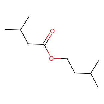 CC(C)CCOC(=O)CC(C)C